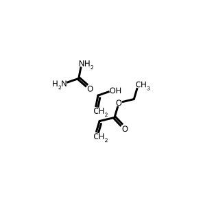 C=CC(=O)OCC.C=CO.NC(N)=O